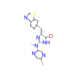 Cc1cnc(N(C)C2=N/C(=C\c3ccc4ncsc4c3)C(=O)N2)cn1